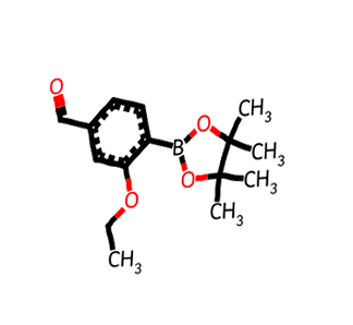 CCOc1cc(C=O)ccc1B1OC(C)(C)C(C)(C)O1